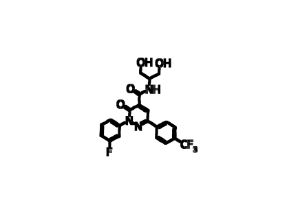 O=C(NC(CO)CO)c1cc(-c2ccc(C(F)(F)F)cc2)nn(-c2cccc(F)c2)c1=O